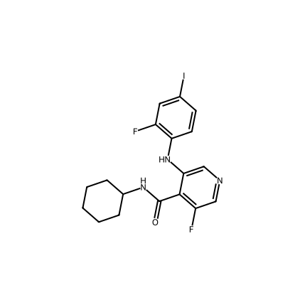 O=C(NC1CCCCC1)c1c(F)cncc1Nc1ccc(I)cc1F